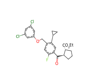 CCOC(=O)[C@@H]1CCC[C@H]1C(=O)c1cc(C2CC2)c(COc2cc(Cl)cc(Cl)c2)cc1F